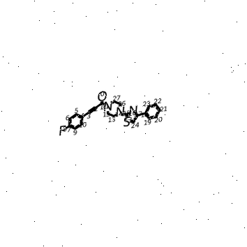 O=C(C#Cc1ccc(F)cc1)N1CCN(c2nc(-c3ccccc3)cs2)CC1